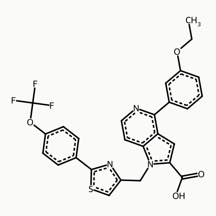 CCOc1cccc(-c2nccc3c2cc(C(=O)O)n3Cc2csc(-c3ccc(OC(F)(F)F)cc3)n2)c1